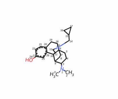 CN(C)C1CCC23CCC1C21CCN(CC2CC2)C3Cc2ccc(O)cc21